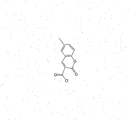 Cc1ccc2oc(=O)c(C(=O)Cl)cc2c1